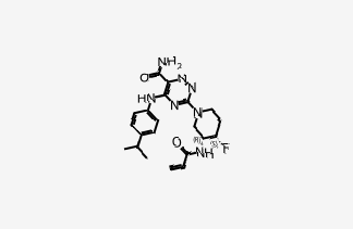 C=CC(=O)N[C@@H]1CN(c2nnc(C(N)=O)c(Nc3ccc(C(C)C)cc3)n2)CC[C@@H]1F